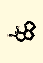 [O-][NH+]1c2c(ccc3cccnc23)C=CC1O